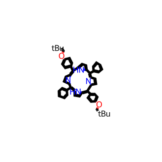 CC(C)(C)COc1ccc(-c2c3nc(c(-c4ccccc4)c4ccc([nH]4)c(-c4ccc(OCC(C)(C)C)cc4)c4nc(c(-c5ccccc5)c5ccc2[nH]5)C=C4)C=C3)cc1